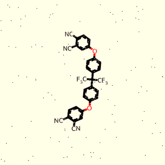 N#Cc1ccc(Oc2ccc(C(c3ccc(Oc4ccc(C#N)c(C#N)c4)cc3)(C(F)(F)F)C(F)(F)F)cc2)cc1C#N